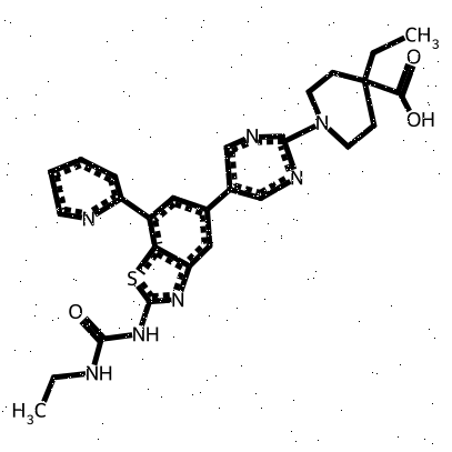 CCNC(=O)Nc1nc2cc(-c3cnc(N4CCC(CC)(C(=O)O)CC4)nc3)cc(-c3ccccn3)c2s1